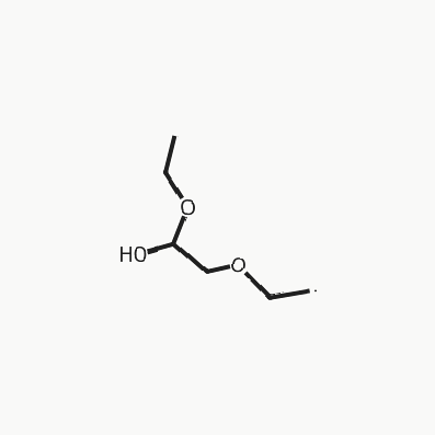 [CH2]COCC(O)OCC